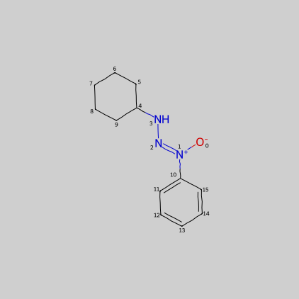 [O-][N+](=NNC1CCCCC1)c1ccccc1